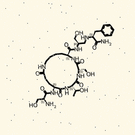 CC(O)[C@@H]1NC(=O)[C@@H](NC(=O)[C@@H](N)CO)CCC(=O)NCCCC[C@@H](C(=O)N[C@@H](CO)CN[C@@H](Cc2ccccc2)C(N)=O)NC(=O)[C@H](CO)NC1=O